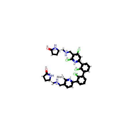 COc1nc(-c2cccc(-c3cccc(-c4cc(Cl)c(CNC[C@@H]5CCC(=O)N5)c(Cl)n4)c3Cl)c2Cl)ccc1CNC[C@@H]1CCC(=O)N1